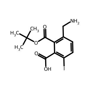 CC(C)(C)OC(=O)c1c(CN)ccc(I)c1C(=O)O